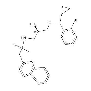 CC(C)(Cc1ccc2ccccc2c1)NC[C@@H](O)COC(c1ccccc1Br)C1CC1